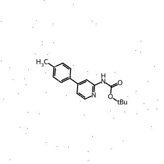 Cc1ccc(-c2ccnc(NC(=O)OC(C)(C)C)c2)cc1